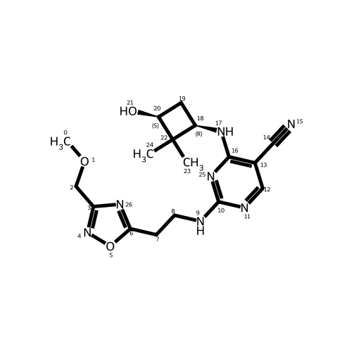 COCc1noc(CCNc2ncc(C#N)c(N[C@@H]3C[C@H](O)C3(C)C)n2)n1